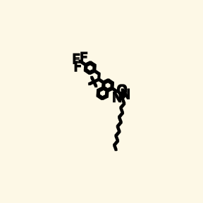 CCCCCCCCCCCc1noc(-c2ccc(C(Cc3ccc(C(F)(F)F)cc3)C(C)(C)C)c3ccccc23)n1